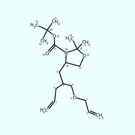 C=CCOCC(CC=C)CC1COC(C)(C)N1C(=O)OC(C)(C)C